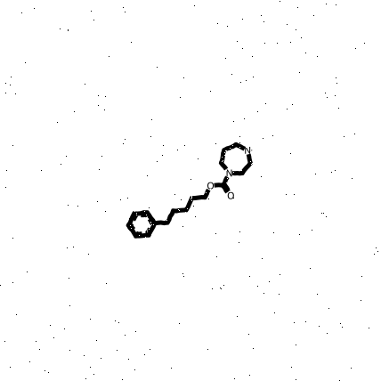 O=C(OCCCCCc1ccccc1)N1CCC[N]CC1